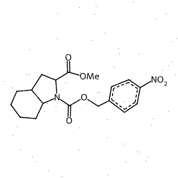 COC(=O)C1CC2CCCCC2N1C(=O)OCc1ccc([N+](=O)[O-])cc1